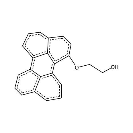 OCCOc1ccc2cccc3c4cccc5cccc(c1c23)c54